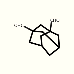 O=CC12CC3CC(C1)CC(C=O)(C3)C2